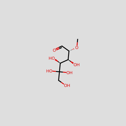 CO[C@@H](C=O)[C@@H](O)[C@H](O)C(O)(O)CO